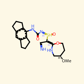 CO[C@@H]1CCO/C(=C(C=N)\[SH](=O)=N/C(=O)Nc2c3c(cc4c2CCC4)CCC3)NC1